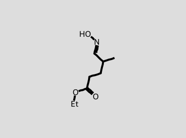 CCOC(=O)CCC(C)C=NO